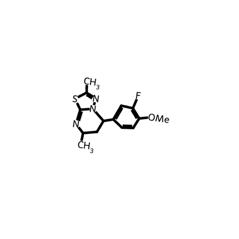 COc1ccc(C2CC(C)N=C3SC(C)=NN32)cc1F